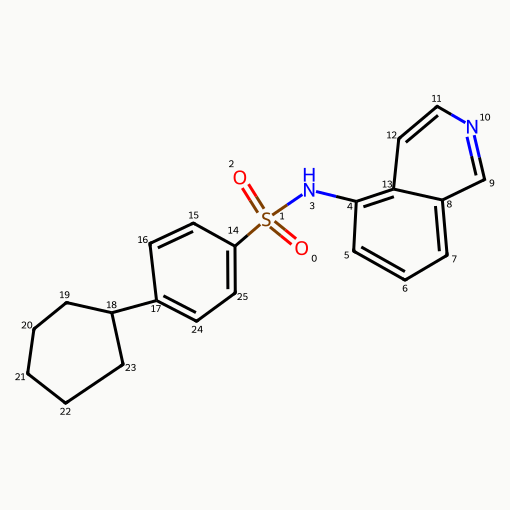 O=S(=O)(Nc1cccc2cnccc12)c1ccc(C2CCCCC2)cc1